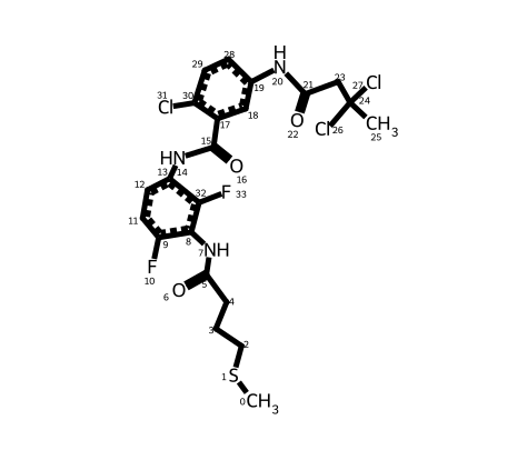 CSCCCC(=O)Nc1c(F)ccc(NC(=O)c2cc(NC(=O)CC(C)(Cl)Cl)ccc2Cl)c1F